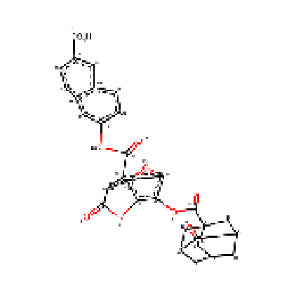 O=C1Oc2c(OC(=O)C34CC5CC(C3)C(=O)C(C5)C4)c3oc2c1c3C(=O)Oc1ccc2cc(S(=O)(=O)O)ccc2c1